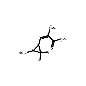 COC(=O)C(=CC1C(C(=O)O)C1(C)C)OC